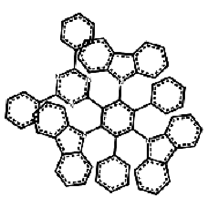 c1ccc(-c2nc(-c3ccccc3)nc(-c3c(-n4c5ccccc5c5ccccc54)c(-c4ccccc4)c(-n4c5ccccc5c5ccccc54)c(-c4ccccc4)c3-n3c4ccccc4c4ccccc43)n2)cc1